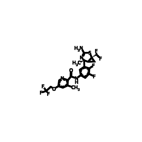 Cc1cc(OCC(F)(F)F)cnc1C(=O)Nc1cc(F)c(F)c([C@@]2(C)N=C(N)S[C@@]3(C(F)F)CC32)c1